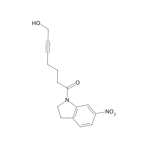 O=C(CCCC#CCO)N1CCc2ccc([N+](=O)[O-])cc21